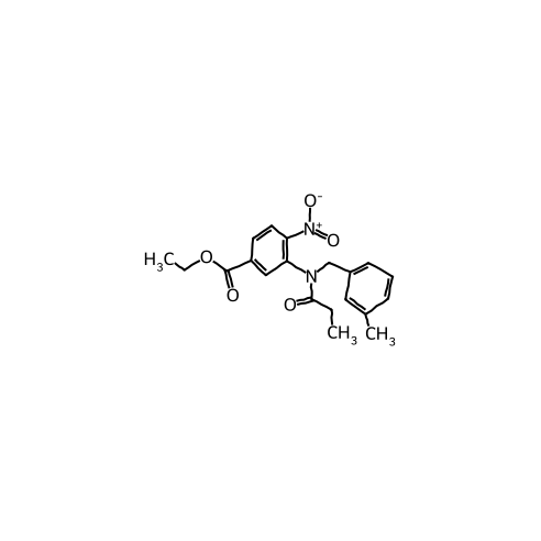 CCOC(=O)c1ccc([N+](=O)[O-])c(N(Cc2cccc(C)c2)C(=O)CC)c1